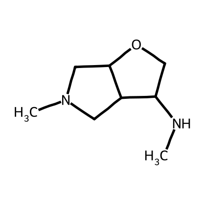 CNC1COC2CN(C)CC12